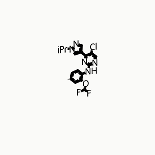 CC(C)n1cc(-c2nc(Nc3cc[c]cc3OC(F)F)ncc2Cl)cn1